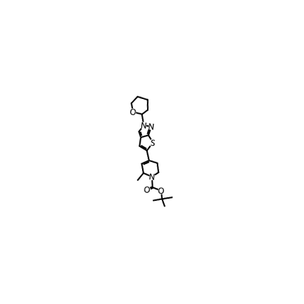 CC1C=C(c2cc3cn(C4CCCCO4)nc3s2)CCN1C(=O)OC(C)(C)C